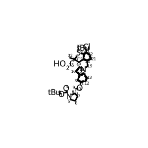 CC(C)(C)OC(=O)N1CCC[C@H]1COc1ccc2c(ccn2Cc2ccc(Cl)c(SC(C)(C)C)c2CC(C)(C)C(=O)O)c1